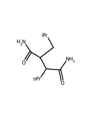 CCCC(C(N)=O)C(CC(C)C)C(N)=O